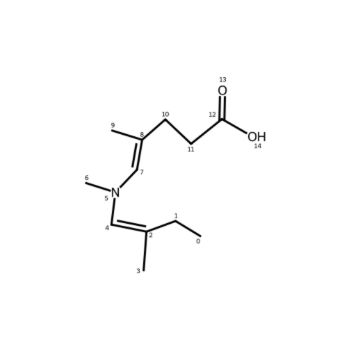 CC/C(C)=C\N(C)/C=C(\C)CCC(=O)O